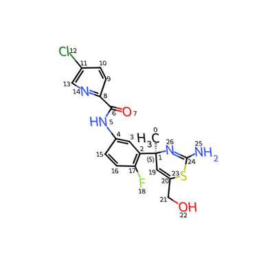 C[C@@]1(c2cc(NC(=O)c3ccc(Cl)cn3)ccc2F)C=C(CO)SC(N)=N1